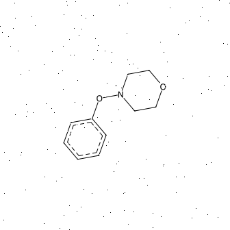 c1ccc(ON2CCOCC2)cc1